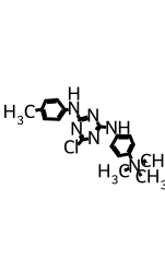 Cc1ccc(Nc2nc(Cl)nc(Nc3ccc([N+](C)(C)C)cc3)n2)cc1